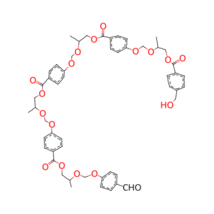 CC(COC(=O)c1ccc(CO)cc1)OCOc1ccc(C(=O)OCC(C)OCOc2ccc(C(=O)OCC(C)OCOc3ccc(C(=O)OCC(C)OCOc4ccc(C=O)cc4)cc3)cc2)cc1